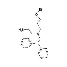 CCOCCCN(CCN)CC(c1ccccc1)c1ccccc1